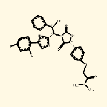 C[C@H](c1ccccc1)[C@@H](c1ncc(-c2ccc(I)cc2Cl)[nH]1)N1C(=O)N[C@H](c2ccc(OCC(=O)N(C)C)cc2)C1=O